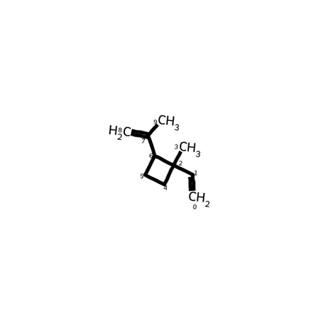 C=CC1(C)CCC1C(=C)C